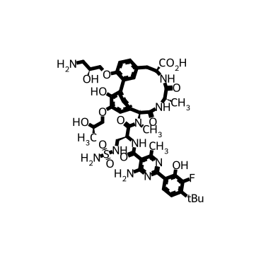 Cc1nc(-c2ccc(C(C)(C)C)c(F)c2O)nc(N)c1C(=O)N[C@@H](CNS(N)(=O)=O)C(=O)N(C)[C@@H]1C(=O)N[C@@H](C)C(=O)N[C@H](C(=O)O)Cc2ccc(OC[C@H](O)CN)c(c2)-c2cc1cc(OC[C@@H](C)O)c2O